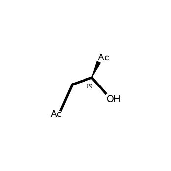 CC(=O)C[C@H](O)C(C)=O